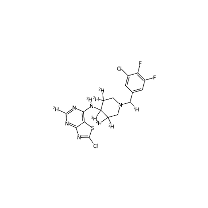 [2H]c1nc(N([2H])C2([2H])C([2H])([2H])CN(C([2H])c3cc(F)c(F)c(Cl)c3)CC2([2H])[2H])c2sc(Cl)nc2n1